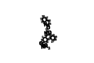 NS(=O)(=O)c1ccc(-c2nc(COc3ccc4ccccc4n3)oc2-c2ccccc2)cc1